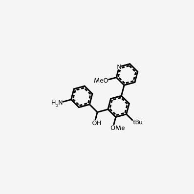 COc1ncccc1-c1cc(C(O)c2cccc(N)c2)c(OC)c(C(C)(C)C)c1